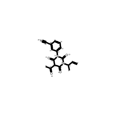 C=CC(C)N1C(=O)C(C(C)=O)C(=O)N(c2cccc(C#N)c2)C1=O